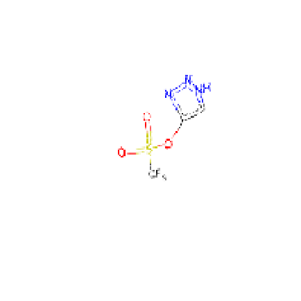 O=S(=O)(Oc1c[nH]nn1)C(F)(F)F